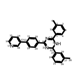 Cc1cccc(C2=NC(c3ccc(-c4cccnc4)cc3)=NC(c3cccc(C)c3)N2)c1